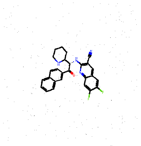 N#Cc1cc2cc(F)c(F)cc2nc1N[C@H](C(=O)c1ccc2ccccc2c1)C1CCCCN1